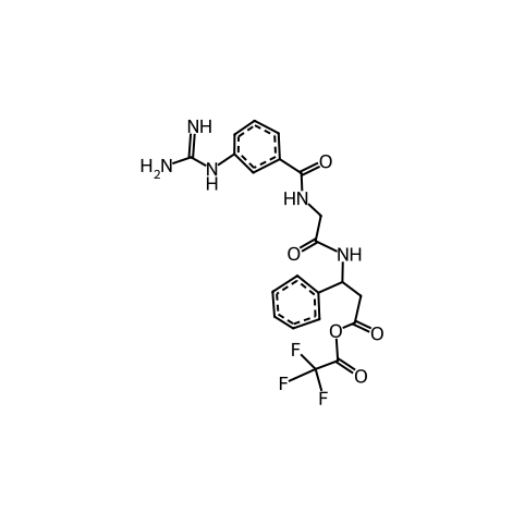 N=C(N)Nc1cccc(C(=O)NCC(=O)NC(CC(=O)OC(=O)C(F)(F)F)c2ccccc2)c1